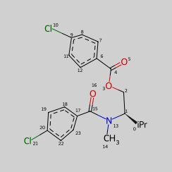 CC(C)[C@H](COC(=O)c1ccc(Cl)cc1)N(C)C(=O)c1ccc(Cl)cc1